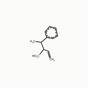 C=CC(C(=O)O)C(C)c1ccccc1